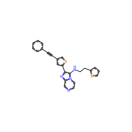 C(#Cc1csc(-c2nc3cnccn3c2NCCc2cccs2)c1)c1ccccc1